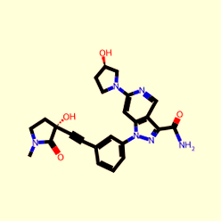 CN1CC[C@@](O)(C#Cc2cccc(-n3nc(C(N)=O)c4cnc(N5CC[C@@H](O)C5)cc43)c2)C1=O